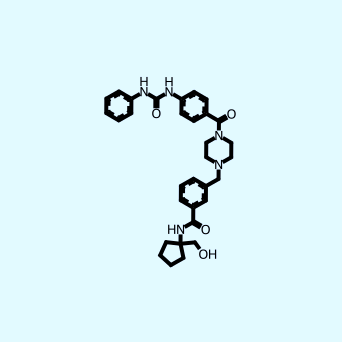 O=C(Nc1ccccc1)Nc1ccc(C(=O)N2CCN(Cc3cccc(C(=O)NC4(CO)CCCC4)c3)CC2)cc1